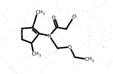 CCOCN(C(=O)CCl)C1=C(C)CCC1C